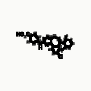 Cc1cccc(F)c1C1=NCc2cnc(Nc3ccc(C(=O)O)cc3)nc2-c2ccc(Cl)cc21